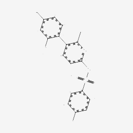 Cc1nc(NS(=O)(=O)c2ccc(F)cc2)ccc1-c1ccc(Cl)cc1Cl